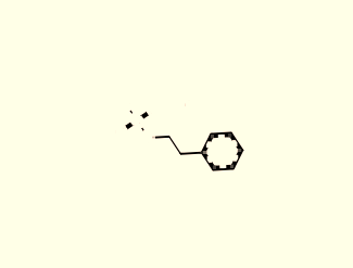 Cl.O=S(=O)(O)OCCc1ccccc1